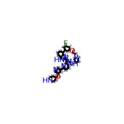 Fc1cc(OCCN2CCCC2)cc(-c2cccc3[nH]c(-c4n[nH]c5ccc(-c6cncc(OC7CCNCC7)c6)nc45)nc23)c1